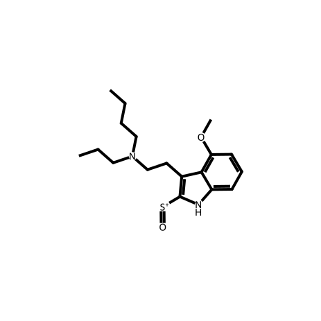 CCCCN(CCC)CCc1c([S+]=O)[nH]c2cccc(OC)c12